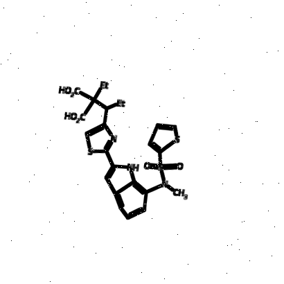 CCC(c1csc(-c2cc3cccc(N(C)S(=O)(=O)c4cccs4)c3[nH]2)n1)C(CC)(C(=O)O)C(=O)O